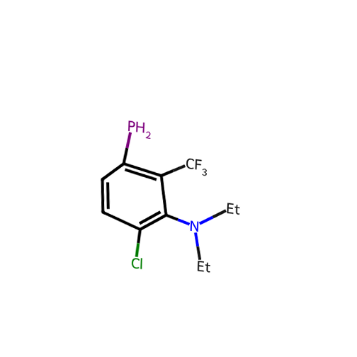 CCN(CC)c1c(Cl)ccc(P)c1C(F)(F)F